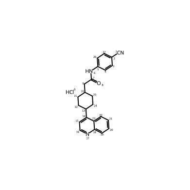 Cl.N#Cc1ccc(NC(=O)CC2CCC(c3ccnc4ccccc34)CC2)cc1